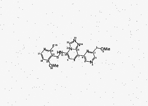 COCc1cncc(-c2ccc(NCc3c(F)cccc3OC)n3cnnc23)c1